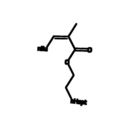 CCCCC=C(C)C(=O)OCCCCCCCCC